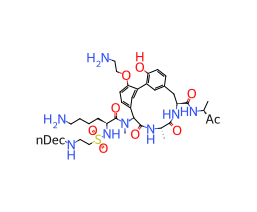 CCCCCCCCCCNCCS(=O)(=O)N[C@@H](CCCCN)C(=O)N(C)[C@@H]1C(=O)N[C@@H](C)C(=O)N[C@H](C(=O)N[C@@H](C)C(C)=O)Cc2ccc(O)c(c2)-c2cc1ccc2OCCN